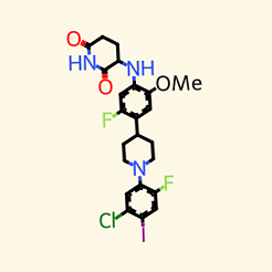 COc1cc(C2CCN(c3cc(Cl)c(I)cc3F)CC2)c(F)cc1NC1CCC(=O)NC1=O